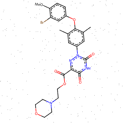 COc1ccc(Oc2c(C)cc(-n3nc(C(=O)OCCN4CCOCC4)c(=O)[nH]c3=O)cc2C)cc1Br